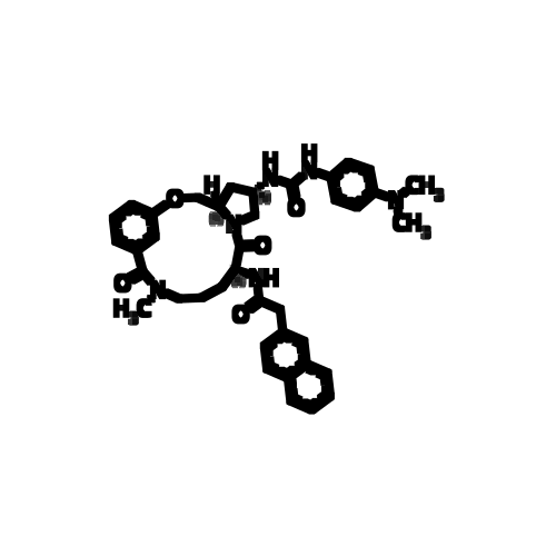 CN1CCC[C@H](NC(=O)Cc2ccc3ccccc3c2)C(=O)N2C[C@@H](NC(=O)Nc3ccc(N(C)C)cc3)C[C@H]2COc2cccc(c2)C1=O